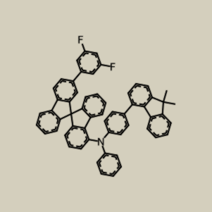 CC1(C)c2ccccc2-c2c(-c3ccc(N(c4ccccc4)c4cccc5c4-c4ccccc4C54c5ccccc5-c5ccc(-c6cc(F)cc(F)c6)cc54)cc3)cccc21